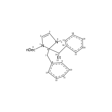 CCCCCCCCCCN1C=CN(C)C1(Cc1ccccc1)C(CC)c1ccccc1